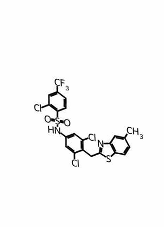 Cc1ccc2sc(Cc3c(Cl)cc(NS(=O)(=O)c4ccc(C(F)(F)F)cc4Cl)cc3Cl)nc2c1